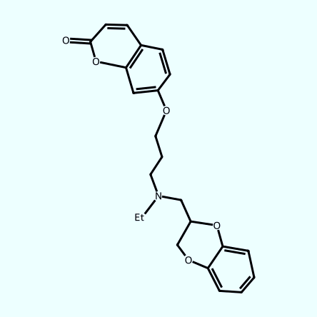 CCN(CCCOc1ccc2ccc(=O)oc2c1)CC1COc2ccccc2O1